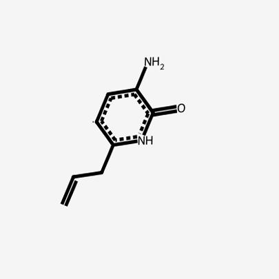 C=CCc1[c]cc(N)c(=O)[nH]1